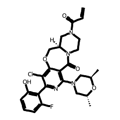 C=CC(=O)N1CCN2C(=O)c3c(N4C[C@@H](C)O[C@H](C)C4)nc(-c4c(O)cccc4F)c(Cl)c3OC[C@H]2C1